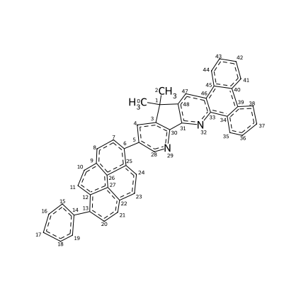 CC1(C)c2cc(-c3ccc4ccc5c(-c6ccccc6)ccc6ccc3c4c65)cnc2-c2nc3c4ccccc4c4ccccc4c3cc21